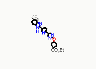 CCOC(=O)C1CCC(Oc2ncc(-c3ccc(-c4nc5cc(C(F)(F)F)ccc5[nH]4)cn3)cn2)CC1